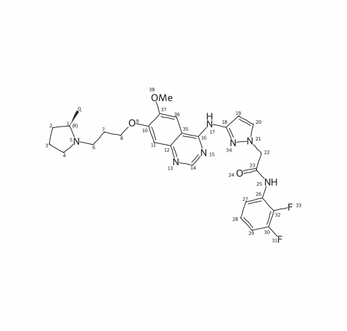 [CH2][C@@H]1CCCN1CCCOc1cc2ncnc(Nc3ccn(CC(=O)Nc4cccc(F)c4F)n3)c2cc1OC